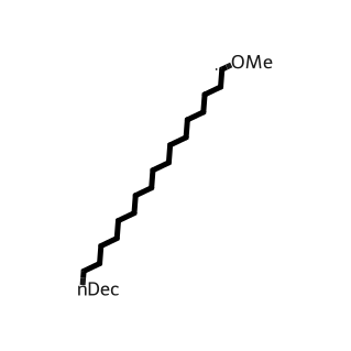 CCCCCCCCCCCCCCCCCCCCCCCCCC[CH]OC